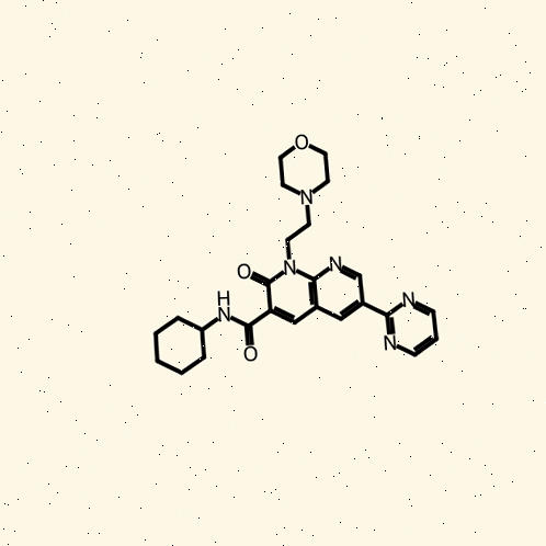 O=C(NC1CCCCC1)c1cc2cc(-c3ncccn3)cnc2n(CCN2CCOCC2)c1=O